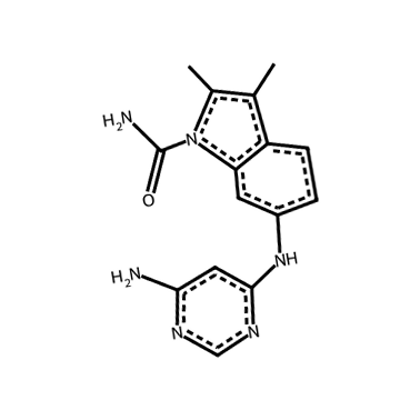 Cc1c(C)n(C(N)=O)c2cc(Nc3cc(N)ncn3)ccc12